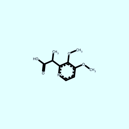 COc1ccnc(C(C)C(=O)O)c1OC